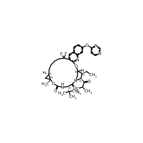 CC[C@@H]1[C@@H]2CN(C(=O)[C@H](C(C)(C)C)NC(=O)O[C@]3(C)C[C@H]3CCCCC(F)(F)c3cc4ccc(Oc5ccncn5)cc4nc3O2)[C@@H]1C(=O)C(C)C